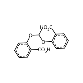 CC(Oc1ccccc1C(=O)O)Oc1ccccc1C(=O)O